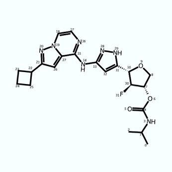 CC(C)NC(=O)O[C@H]1CO[C@@H](c2cc(Nc3nccn4nc(C5CCC5)cc34)n[nH]2)[C@@H]1F